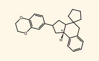 c1ccc2c(c1)CC1(CCCC1)C1CC(c3ccc4c(c3)OCCO4)C[C@@H]21